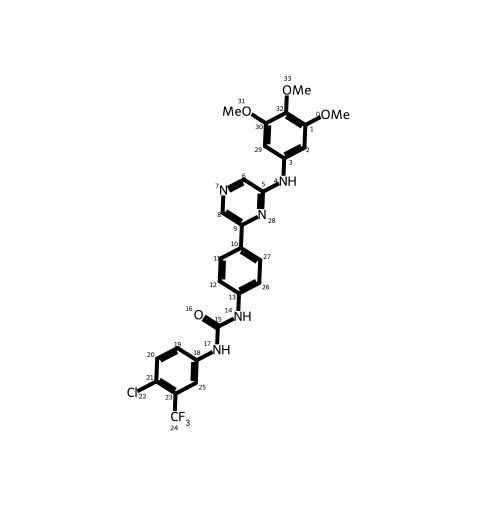 COc1cc(Nc2cncc(-c3ccc(NC(=O)Nc4ccc(Cl)c(C(F)(F)F)c4)cc3)n2)cc(OC)c1OC